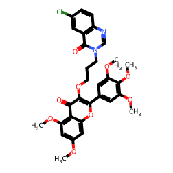 COc1cc(OC)c2c(=O)c(OCCCn3cnc4ccc(Cl)cc4c3=O)c(-c3cc(OC)c(OC)c(OC)c3)oc2c1